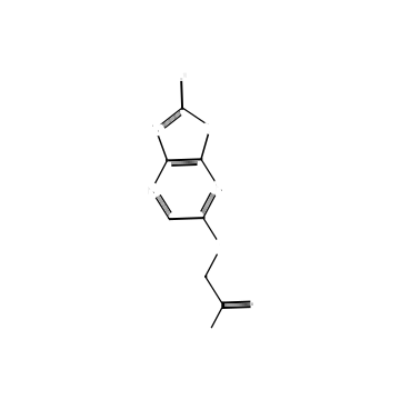 O=C(O)CSc1cnc2nc(Br)sc2n1